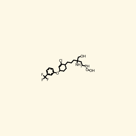 NC(CO)(CCCC1CCC(Oc2cccc(C(F)(F)F)c2)C=C1Cl)CCPOO